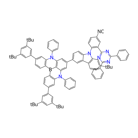 [C-]#[N+]c1ccc(-n2c3ccc(-c4cc5c6c(c4)N(c4ccccc4)c4cc(-c7cc(C(C)(C)C)cc(C(C)(C)C)c7)ccc4B6c4ccc(-c6cc(C(C)(C)C)cc(C(C)(C)C)c6)cc4N5c4ccccc4)cc3c3ccc(C(C)(C)C)cc32)c(-c2nc(-c3ccccc3)nc(-c3ccccc3)n2)c1